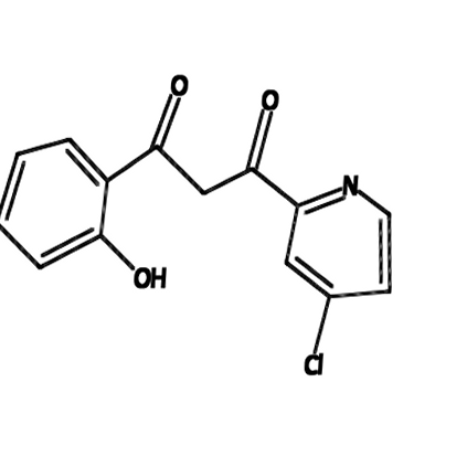 O=C(CC(=O)c1ccccc1O)c1cc(Cl)ccn1